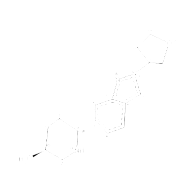 C[C@H]1CC[C@H](c2ccc3cn(C4CCOC4)nc3c2)NC1